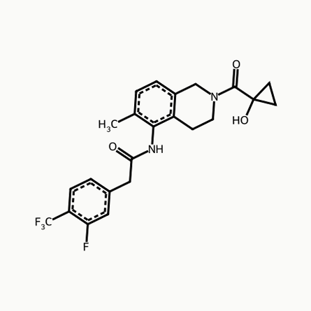 Cc1ccc2c(c1NC(=O)Cc1ccc(C(F)(F)F)c(F)c1)CCN(C(=O)C1(O)CC1)C2